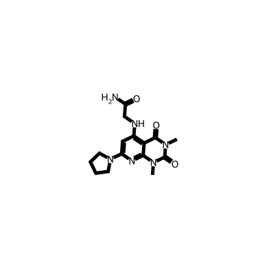 Cn1c(=O)c2c(NCC(N)=O)cc(N3CCCC3)nc2n(C)c1=O